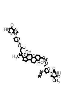 Cc1cn([C@@H]2C[C@@H](N=[N+]=[N-])[C@H](COP(=O)(O)OC3CCC4(C)C(CCC5C4CC(O)C4(C)C(C(C)CCC(=O)OC[C@@H]6CC[C@H](n7cnc8c(=O)[nH]cnc87)O6)CCC54)C3)O2)c(=O)[nH]c1=O